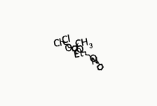 CCc1cc(OCC=C(Cl)Cl)cc(C)c1OCCCCCON=Cc1ccccc1